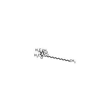 CCCCCCCCCCCCCCCCCCOC(=O)C(C)=C(CC)N(C)C